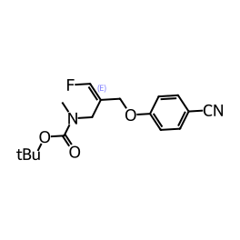 CN(C/C(=C\F)COc1ccc(C#N)cc1)C(=O)OC(C)(C)C